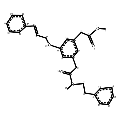 COC(=O)Cc1cc(CC(=O)N(C)CCc2ccccc2)cc(OCC=Cc2ccccc2)c1